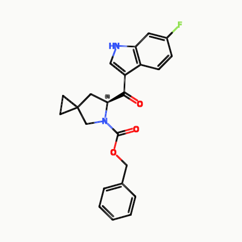 O=C(c1c[nH]c2cc(F)ccc12)[C@@H]1CC2(CC2)CN1C(=O)OCc1ccccc1